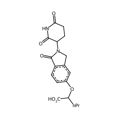 CCCC(Oc1ccc2c(c1)CN(C1CCC(=O)NC1=O)C2=O)C(=O)O